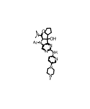 CC(=O)N1c2cnc(Nc3ccc(N4CCN(C)CC4)cn3)nc2C(O)(C2CCCC2)C1C(=O)N(C)C